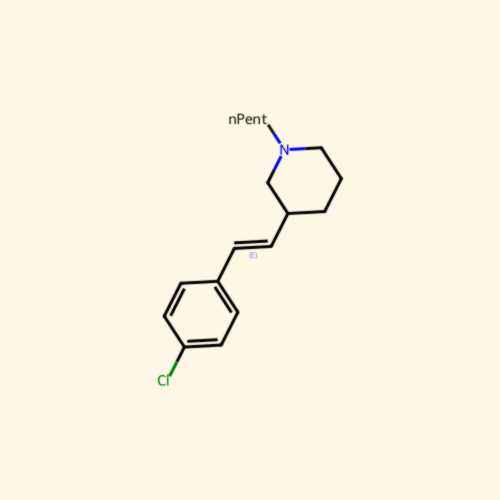 CCCCCN1CCCC(/C=C/c2ccc(Cl)cc2)C1